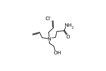 C=CC[N+](CC=C)(CCO)CCC(N)=O.[Cl-]